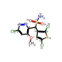 COc1cc(Cl)nnc1C(c1cc(Cl)sc1Cl)S(N)(=O)=O